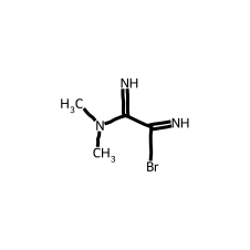 CN(C)C(=N)C(=N)Br